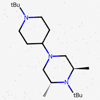 C[C@@H]1CN(C2CCN(C(C)(C)C)CC2)C[C@@H](C)N1C(C)(C)C